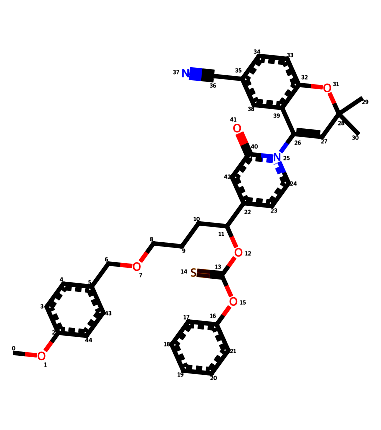 COc1ccc(COCCCC(OC(=S)Oc2ccccc2)c2ccn(C3=CC(C)(C)Oc4ccc(C#N)cc43)c(=O)c2)cc1